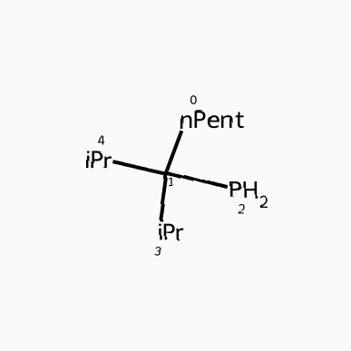 CCCCCC(P)(C(C)C)C(C)C